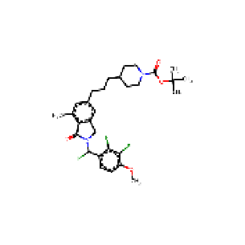 COc1ccc(C(F)N2Cc3cc(CCCC4CCN(C(=O)OC(C)(C)C)CC4)cc(C)c3C2=O)c(F)c1F